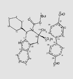 CC(C)(C)OC(=O)N1[C@H](C2CCCCC2)c2[nH]c3ccccc3c2C[C@]1(C)C(=O)O.O=Cc1ccc(-c2ccc(C=O)cc2)cc1